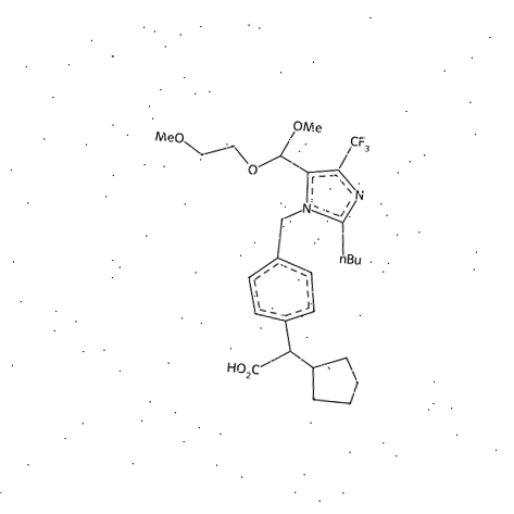 CCCCc1nc(C(F)(F)F)c(C(OC)OCCOC)n1Cc1ccc(C(C(=O)O)C2CCCC2)cc1